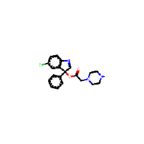 O=C(CN1CCNCC1)OC1(c2ccccc2)C=Nc2ccc(Cl)cc21